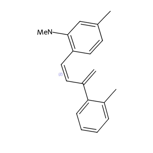 C=C(/C=C\c1ccc(C)cc1NC)c1ccccc1C